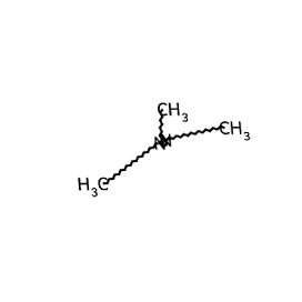 CCCCCCCCCCCCCCCCCCC[n+]1ccn(CCCCCCCCCCCCCCCC)c1CCCCCCCC